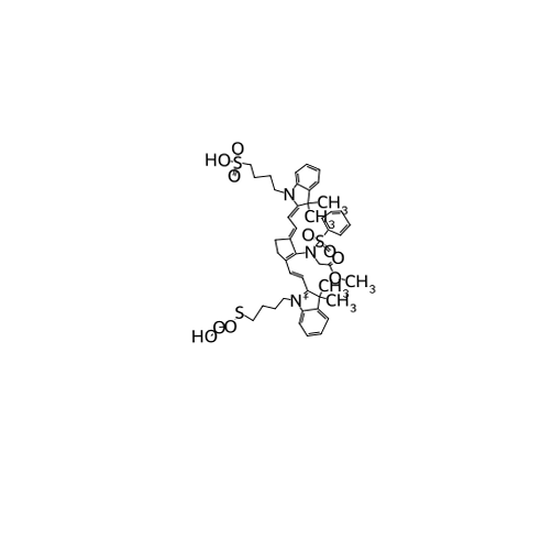 COC(=O)CN(C1=C(/C=C/C2=[N+](CCCCSOOO)c3ccccc3C2(C)C)CC/C1=C\C=C1\N(CCCCS(=O)(=O)O)c2ccccc2C1(C)C)S(=O)(=O)c1ccccc1